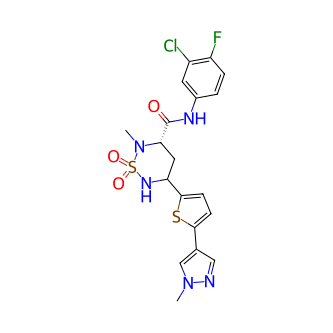 CN1[C@H](C(=O)Nc2ccc(F)c(Cl)c2)CC(c2ccc(-c3cnn(C)c3)s2)NS1(=O)=O